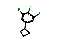 Fc1cc(C2CCC2)cc(F)c1F